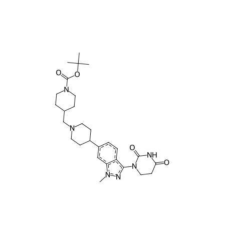 Cn1nc(N2CCC(=O)NC2=O)c2ccc(C3CCN(CC4CCN(C(=O)OC(C)(C)C)CC4)CC3)cc21